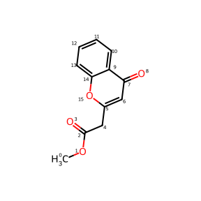 COC(=O)Cc1cc(=O)c2ccccc2o1